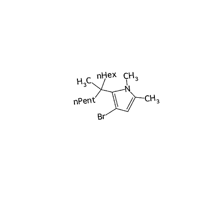 CCCCCCC(C)(CCCCC)c1c(Br)cc(C)n1C